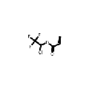 C=CC(=O)OC(Cl)C(F)(F)F